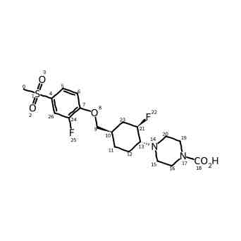 CS(=O)(=O)c1ccc(OC[C@@H]2CC[C@@H](N3CCN(C(=O)O)CC3)[C@H](F)C2)c(F)c1